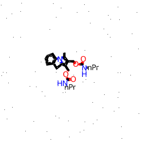 CCCNC(=O)OCc1c(COC(=O)NCCC)c2n(c1C)-c1ccccc1C2